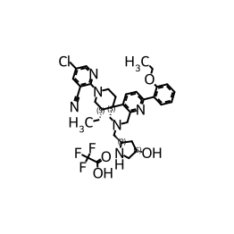 CCOc1ccccc1-c1ccc2c(n1)CN(C[C@H]1C[C@H](O)CN1)C[C@]21CCN(c2ncc(Cl)cc2C#N)C[C@H]1CC.O=C(O)C(F)(F)F